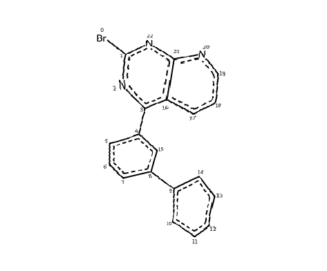 Brc1nc(-c2cccc(-c3ccccc3)c2)c2cccnc2n1